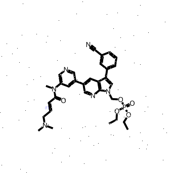 CCOP(=O)(OCC)OCn1cc(-c2cccc(C#N)c2)c2cc(-c3cncc(N(C)C(=O)/C=C/CN(C)C)c3)cnc21